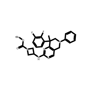 CC(C)(C)OC(=O)N1CC(Nc2ncc3c(n2)C(C)(c2cccc(F)c2F)CN(c2ccccc2)C3)C1